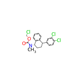 CN(C(=O)OCCl)[C@H]1CCC(c2ccc(Cl)c(Cl)c2)c2ccccc21